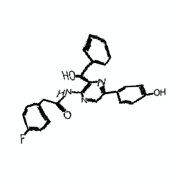 O=C(Cc1ccc(F)cc1)Nc1ncc(-c2ccc(O)cc2)nc1C(O)c1ccccc1